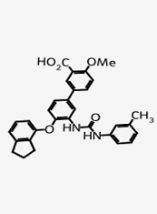 COc1ccc(-c2ccc(Oc3cccc4c3CCC4)c(NC(=O)Nc3cccc(C)c3)c2)cc1C(=O)O